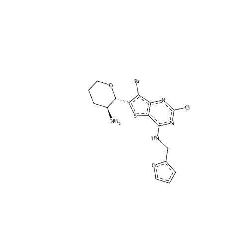 N[C@H]1CCCO[C@@H]1c1sc2c(NCc3ccco3)nc(Cl)nc2c1Br